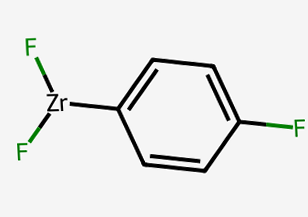 Fc1cc[c]([Zr]([F])[F])cc1